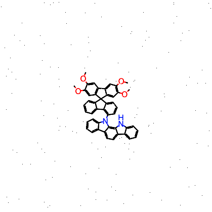 COc1cc2c(cc1OC)C1(c3cc(OC)c(OC)cc3-2)c2ccccc2-c2c(-n3c4ccccc4c4ccc5c6ccccc6[nH]c5c43)cccc21